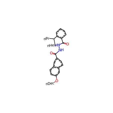 CCCCCCCCCCOc1ccc2cc(C(=O)NNC(=O)c3ccccc3C(CCC)CCCCCC)ccc2c1